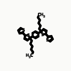 CCCCCCC1([C]2C=CC(C3(CCCCCC)C=CC(c4cccs4)S3)=CC2)C=CC(c2cccs2)S1